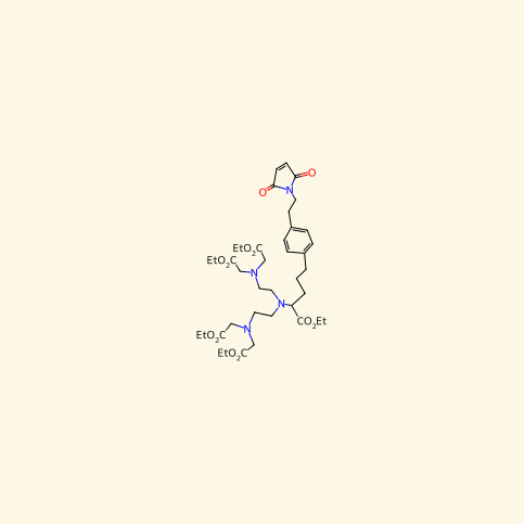 CCOC(=O)CN(CCN(CCN(CC(=O)OCC)CC(=O)OCC)C(CCCc1ccc(CCN2C(=O)C=CC2=O)cc1)C(=O)OCC)CC(=O)OCC